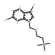 C[Si](C)(C)CCOCn1cc(I)c2ncc(F)nc21